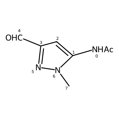 CC(=O)Nc1cc(C=O)nn1C